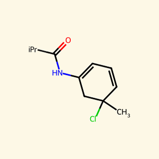 CC(C)C(=O)NC1=CC=CC(C)(Cl)C1